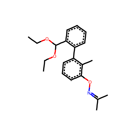 CCOC(OCC)c1ccccc1-c1cc[c]c(ON=C(C)C)c1C